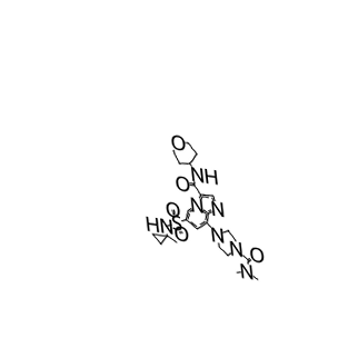 CN(C)C(=O)N1CCN(c2cc(S(=O)(=O)NC3(C)CC3)cn3c(C(=O)NC4CCOCC4)cnc23)CC1